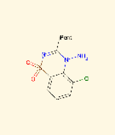 CCCC(C)C1=NS(=O)(=O)c2cccc(Cl)c2N1N